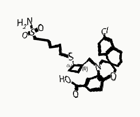 NS(=O)(=O)CCCCCS[C@H]1CC[C@@H]1CN1CC2(CCCc3cc(Cl)ccc32)COc2ccc(C(=O)O)cc21